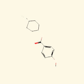 CCCCCCCCOc1ccc(C(=O)O[C@H]2CC[C@H](C#N)CC2)cc1